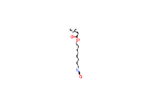 C=CC(=O)OCCCCCCCCN=C=O